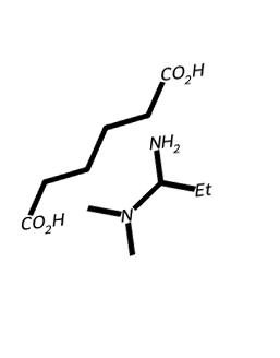 CCC(N)N(C)C.O=C(O)CCCCC(=O)O